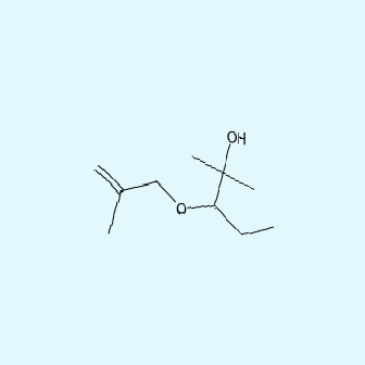 C=C(C)CO[C](CC)C(C)(C)O